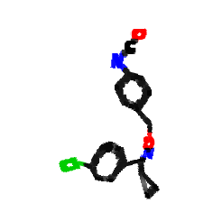 O=C=Nc1ccc(CO/N=C(\c2ccc(Cl)cc2)C2CC2)cc1